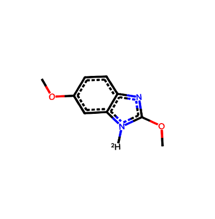 [2H]n1c(OC)nc2ccc(OC)cc21